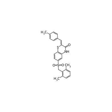 Cc1ccc(C=C2Sc3ccc(S(=O)(=O)Cc4c(C)cccc4C)cc3NC2=O)cc1